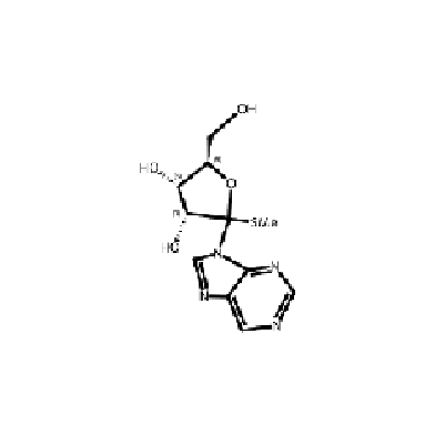 CSC1(n2cnc3cncnc32)O[C@H](CO)[C@@H](O)[C@H]1O